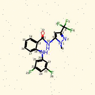 Cn1nc(C(F)(F)F)cc1NC(=O)c1ccccc1Nc1cc(F)cc(F)c1